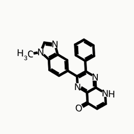 Cn1cnc2cc(-c3nc4c(=O)cc[nH]c4nc3-c3ccccc3)ccc21